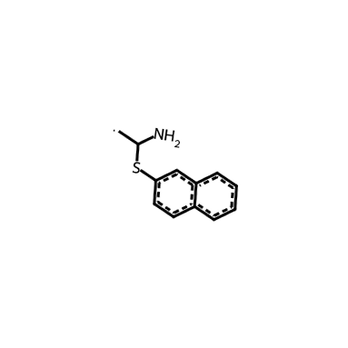 [CH2]C(N)Sc1ccc2ccccc2c1